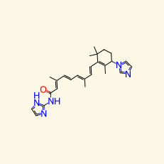 CC(C=CC1=C(C)C(n2ccnc2)CCC1(C)C)=CC=CC(C)=CC(=O)Nc1ncc[nH]1